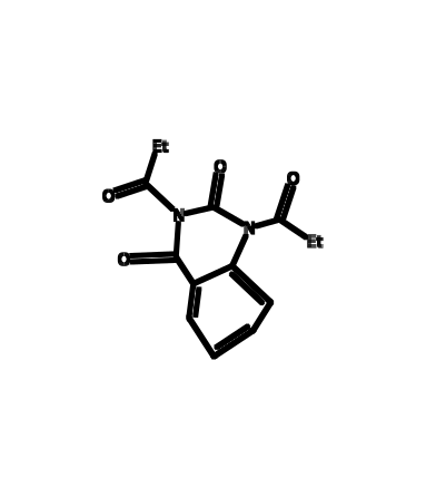 CCC(=O)n1c(=O)c2ccccc2n(C(=O)CC)c1=O